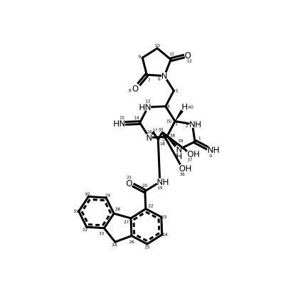 N=C1N[C@H]2C(CN3C(=O)CCC3=O)NC(=N)N3CC(NC(=O)c4cccc5c4-c4ccccc4C5)C(O)(O)[C@]23N1